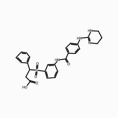 O=C(O)CC(c1ccccc1)S(=O)(=O)c1cccc(NC(=O)c2ccc(NC3=NCCCN3)cc2)c1